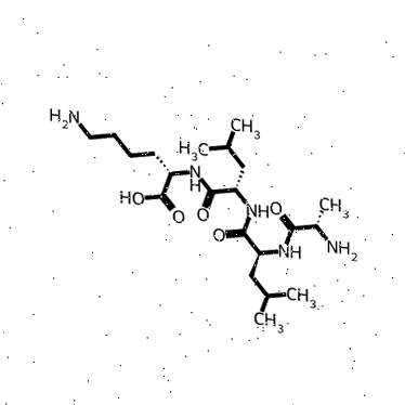 CC(C)C[C@H](NC(=O)[C@H](C)N)C(=O)N[C@@H](CC(C)C)C(=O)N[C@@H](CCCCN)C(=O)O